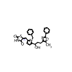 Cc1oc(-c2ccccc2)nc1CCC(O)c1ccc(/C=C2/SC(=O)NC2=O)n1Cc1ccccc1